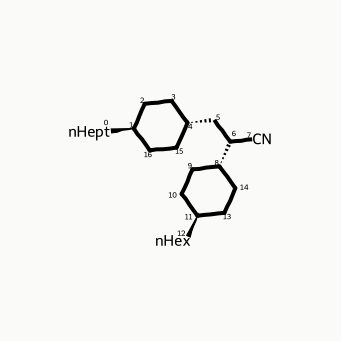 CCCCCCC[C@H]1CC[C@H](CC(C#N)[C@H]2CC[C@H](CCCCCC)CC2)CC1